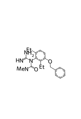 CCc1ccc(OCc2ccccc2)c(CC)c1N(C(=N)N)C(=O)NC